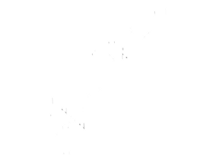 Cc1ccc(-c2nc(COc3ccc(CN(CC(=O)O)S(=O)(=O)N(C)C)cc3)c(C)o2)cc1